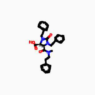 CN(CCc1ccccc1)C(=O)[C@H]1[C@@H](C(=O)O)N(Cc2ccccc2)C(=O)N1Cc1ccccc1